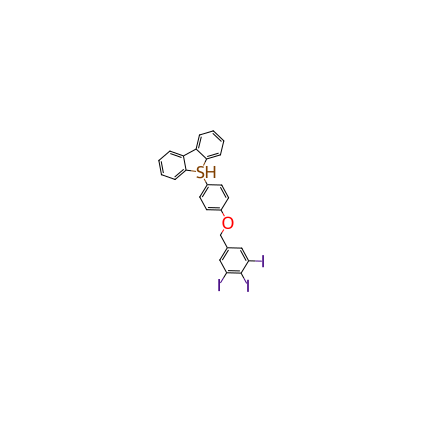 Ic1cc(COc2ccc([SH]3c4ccccc4-c4ccccc43)cc2)cc(I)c1I